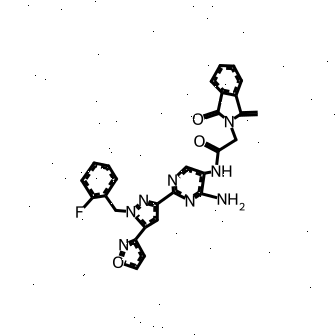 C=C1c2ccccc2C(=O)N1CC(=O)Nc1cnc(-c2cc(-c3ccon3)n(Cc3ccccc3F)n2)nc1N